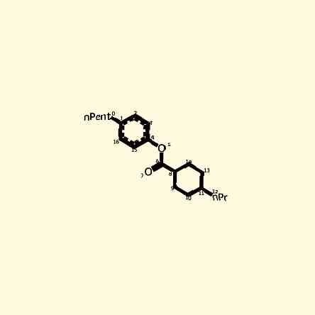 CCCCCc1ccc(OC(=O)C2CCC(CCC)CC2)cc1